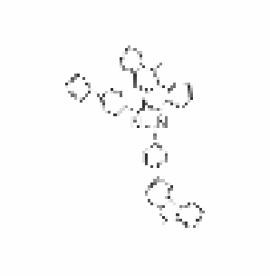 Cc1cccc(-c2nc(-c3ccc(-c4ccccc4)cc3)nc(-c3ccc(-c4ccc5sc6ccccc6c5c4)cc3)n2)c1-c1ccc2ccccc2c1C